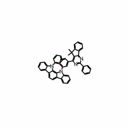 CC1(C)c2ccccc2-c2nc(-c3ccccc3)nc(-c3cccc(-n4c5ccccc5c5ccc6c7ccccc7n(-c7ccccc7)c6c54)c3)c21